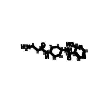 NCCC(=O)N[C@H]1CC[C@H](NC(=O)c2cncnc2O)CC1